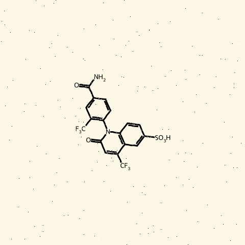 NC(=O)c1ccc(-n2c(=O)cc(C(F)(F)F)c3cc(S(=O)(=O)O)ccc32)c(C(F)(F)F)c1